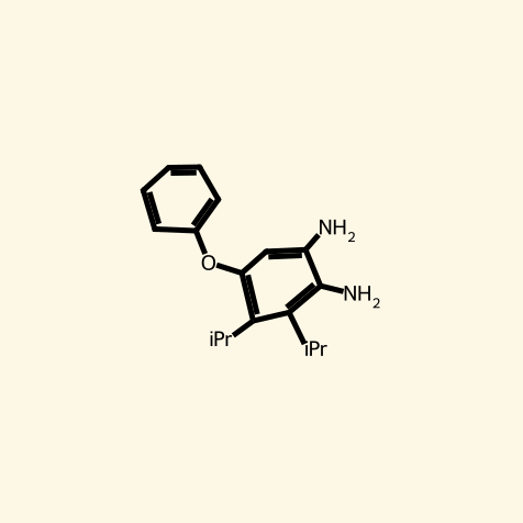 CC(C)c1c(Oc2ccccc2)cc(N)c(N)c1C(C)C